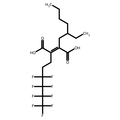 CCCCC(CC)CC(C(=O)O)=C(CCC(F)(F)C(F)(F)C(F)(F)C(F)(F)F)C(=O)O